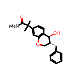 CNC(=O)C(C)(C)c1ccc2c(c1)OC[C@@H](Cc1ccccc1)[C@@H]2O